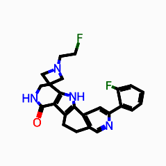 O=C1NCC2(CN(CCF)C2)c2[nH]c3c(c21)CCc1cnc(-c2ccccc2F)cc1-3